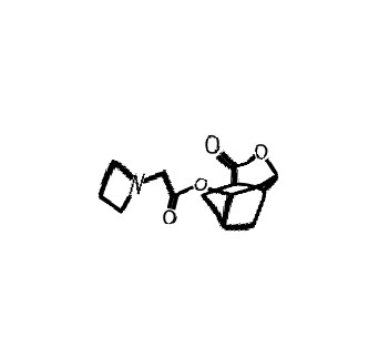 O=C(CN1CCC1)OC1C2CC3C(=O)OC1C3C2